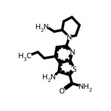 CCCc1cc(N2CCCCC2CN)nc2sc(C(N)=O)c(N)c12